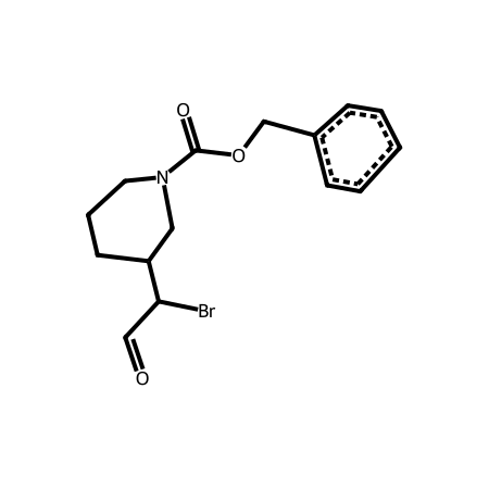 O=CC(Br)C1CCCN(C(=O)OCc2ccccc2)C1